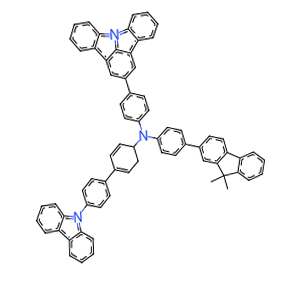 CC1(C)c2ccccc2-c2ccc(-c3ccc(N(c4ccc(-c5cc6c7ccccc7n7c8ccccc8c(c5)c67)cc4)C4C=CC(c5ccc(-n6c7ccccc7c7ccccc76)cc5)=CC4)cc3)cc21